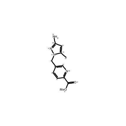 COC(=O)c1ccc(Cn2nc(N)cc2C)cn1